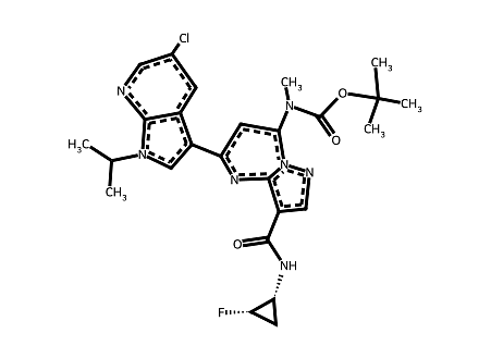 CC(C)n1cc(-c2cc(N(C)C(=O)OC(C)(C)C)n3ncc(C(=O)N[C@@H]4C[C@@H]4F)c3n2)c2cc(Cl)cnc21